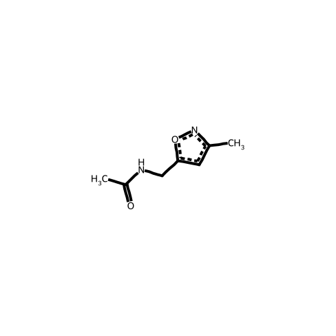 CC(=O)NCc1cc(C)no1